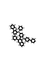 c1ccc(-c2ccc(-n3c4ccc(N(c5ccccc5)c5cccc6c5sc5ccccc56)cc4c4c(-c5ccccc5)cc5ccccc5c43)cc2)cc1